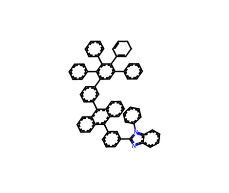 C1=CC(c2c(-c3ccccc3)cc(-c3cccc(-c4c5ccccc5c(-c5cccc(-c6nc7ccccc7n6-c6ccccc6)c5)c5ccccc45)c3)c(-c3ccccc3)c2-c2ccccc2)=CCC1